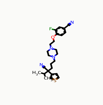 CC(C)C(C#N)(CCCN1CCN(CCOc2ccc(C#N)cc2F)CC1)c1ccsc1